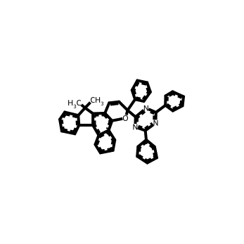 CC1(C)c2ccccc2-c2c1c1c(c3ccccc23)OC(c2ccccc2)(c2nc(-c3ccccc3)nc(-c3ccccc3)n2)C=C1